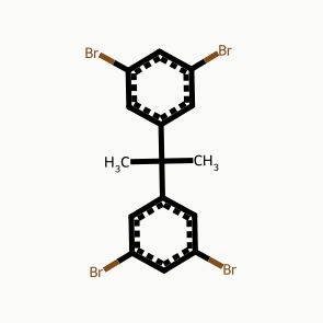 CC(C)(c1cc(Br)cc(Br)c1)c1cc(Br)cc(Br)c1